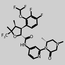 C[C@@H]1CN(C)CC(=O)N1c1cc(NC(=O)[C@@H]2O[C@@](C)(C(F)(F)F)[C@@H](C)[C@H]2c2ccc(F)c(F)c2OC(F)F)ccn1